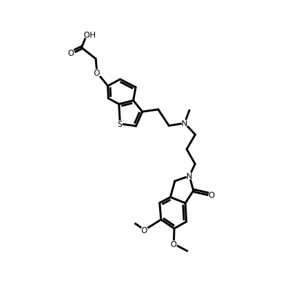 COc1cc2c(cc1OC)C(=O)N(CCCN(C)CCc1csc3cc(OCC(=O)O)ccc13)C2